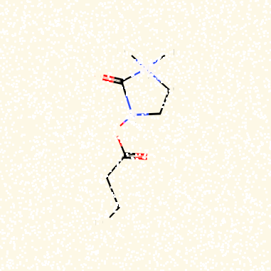 CCCC(=O)ON1CC[N+](C)(C)C1=O